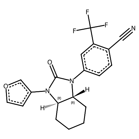 N#Cc1ccc(N2C(=O)N(c3ccoc3)[C@@H]3CCCC[C@H]32)cc1C(F)(F)F